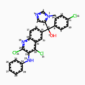 Cn1cncc1C(O)(c1ccc(Cl)cc1)c1ccc2nc(Cl)c(Nc3ccccc3)c(Cl)c2c1